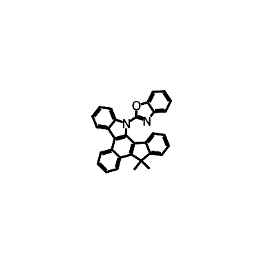 CC1(C)c2ccccc2-c2c1c1ccccc1c1c3ccccc3n(-c3nc4ccccc4o3)c21